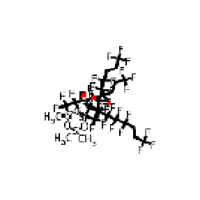 C[Si]1(C)O[Si](C)(C(F)(F)C(F)(F)C(F)(F)C(F)(F)C(F)(F)CCC(F)(F)F)O[Si](C(F)(F)C(F)(F)C(F)(F)C(F)(F)C(F)(F)CCC(F)(F)F)(C(F)(F)C(F)(F)C(F)(F)C(F)(F)C(F)(F)CCC(F)(F)F)O1